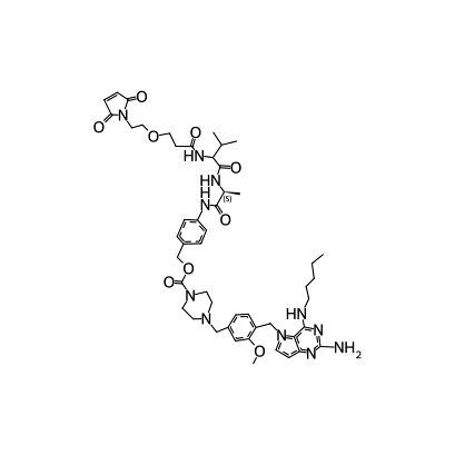 CCCCCNc1nc(N)nc2ccn(Cc3ccc(CN4CCN(C(=O)OCc5ccc(NC(=O)[C@H](C)NC(=O)C(NC(=O)CCOCCN6C(=O)C=CC6=O)C(C)C)cc5)CC4)cc3OC)c12